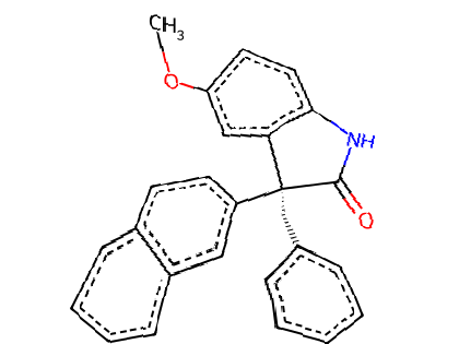 COc1ccc2c(c1)[C@](c1ccccc1)(c1ccc3ccccc3c1)C(=O)N2